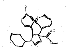 COC(=O)C1(c2ccccc2)N=CN(C2CCCCC2)C1c1ccc(Cl)cc1